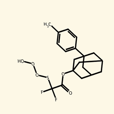 Cc1ccc(C23CC4CC(CC(OC(=O)C(F)(F)SOOO)(C4)C2)C3)cc1